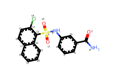 NC(=O)c1cccc(NS(=O)(=O)c2c(Cl)ccc3ccccc23)c1